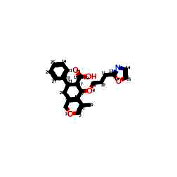 CC1=COCC2=C1C(OCCCc1ncco1)C(C(=O)O)C(c1ccccc1)C2